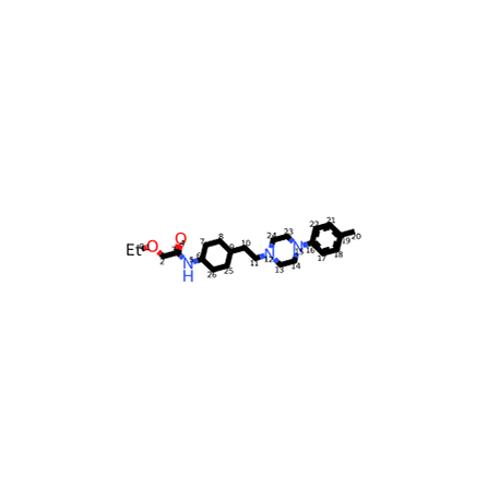 CCOCC(=O)NC1CCC(CCN2CCN(c3ccc(C)cc3)CC2)CC1